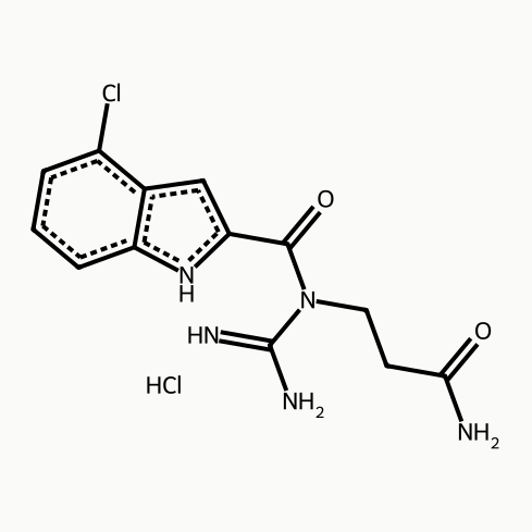 Cl.N=C(N)N(CCC(N)=O)C(=O)c1cc2c(Cl)cccc2[nH]1